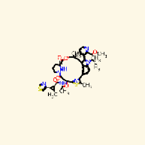 CCO[C@@H]1C2=NC(c3ccc4c(c3)c(c(-c3cccnc3[C@H](C)OC)n4CC)CC(C)(C)COC(=O)[C@@H]3CCCN(N3)C(=O)[C@H]1NC(=O)[C@H]1[C@H](C)[C@@H]1c1cscn1)C(C)S2